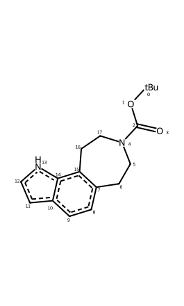 CC(C)(C)OC(=O)N1CCc2ccc3cc[nH]c3c2CC1